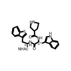 CC(=O)N[C@@H](Cc1csc2ccccc12)NC(=O)[C@@H](Cc1c[nH]c2ccccc12)NC(=O)C1CCNCC1